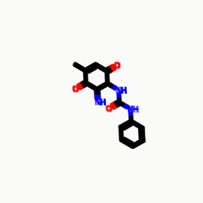 CC1=CC(=O)C(NC(=O)Nc2ccccc2)C(=N)C1=O